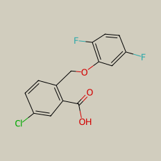 O=C(O)c1cc(Cl)ccc1COc1cc(F)ccc1F